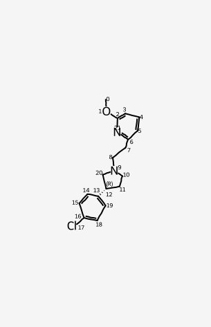 COc1cccc(CCN2CC[C@H](c3ccc(Cl)cc3)C2)n1